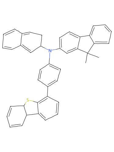 CC1(C)c2ccccc2-c2ccc(N(c3ccc(-c4cccc5c4SC4C=CC=CC54)cc3)C3C=c4ccccc4=CC3)cc21